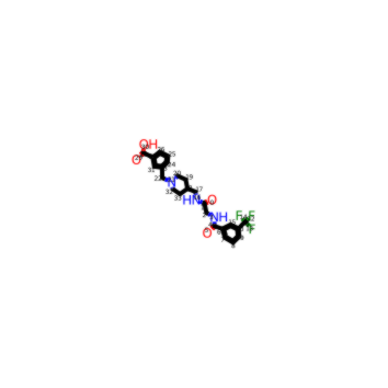 O=C(CNC(=O)c1cccc(C(F)(F)F)c1)NCC1CCN(Cc2cccc(C(=O)O)c2)CC1